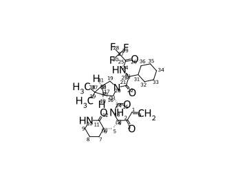 C=CC(=O)[C@H](C[C@@H]1CCCNC1=O)NC(=O)[C@@H]1[C@@H]2[C@H](CN1C(=O)[C@@H](NC(=O)C(F)(F)F)C1CCCCC1)C2(C)C